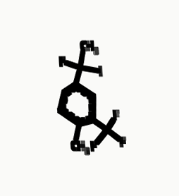 Cc1ccc(C(C)(F)I)cc1C(F)(F)F